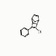 CCC1=C(c2ccccc2)C2C3C=CC(C3)C12